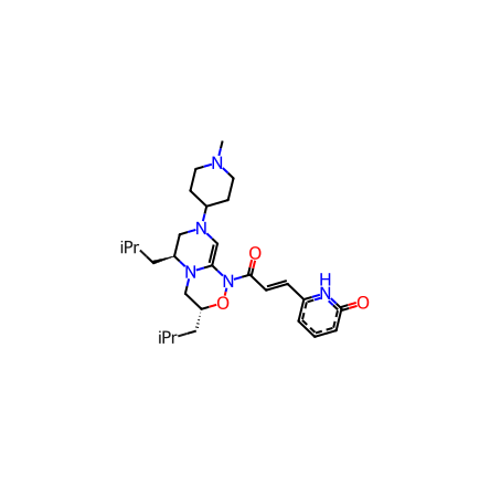 CC(C)C[C@@H]1CN2C(=CN(C3CCN(C)CC3)C[C@@H]2CC(C)C)N(C(=O)/C=C/c2cccc(=O)[nH]2)O1